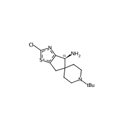 CC(C)(C)N1CCC2(CC1)Cc1sc(Cl)nc1[C@H]2N